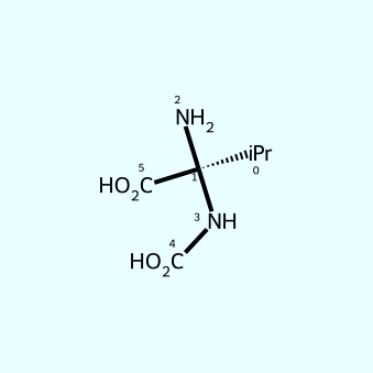 CC(C)[C@](N)(NC(=O)O)C(=O)O